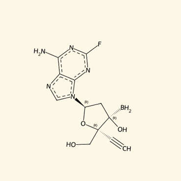 B[C@@]1(O)C[C@H](n2cnc3c(N)nc(F)nc32)O[C@]1(C#C)CO